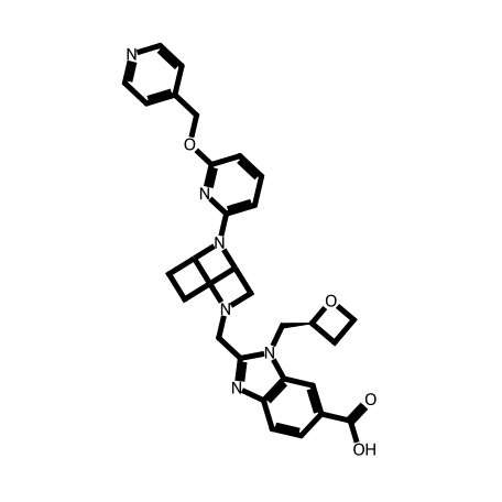 O=C(O)c1ccc2nc(CN3CC4N(c5cccc(OCc6ccncc6)n5)C5CCC543)n(C[C@@H]3CCO3)c2c1